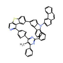 Cc1c(-c2ccccc2)nc(-c2ccccc2)nc1-c1ccc(-c2nccc3sc4ccc(-c5ccc6c(c5)c5ccccc5n6-c5ccc6ccc7ccccc7c6c5)cc4c23)cc1